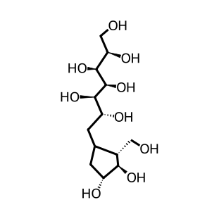 OC[C@@H](O)[C@H](O)[C@@H](O)[C@H](O)[C@H](O)CC1C[C@@H](O)[C@H](O)[C@H]1CO